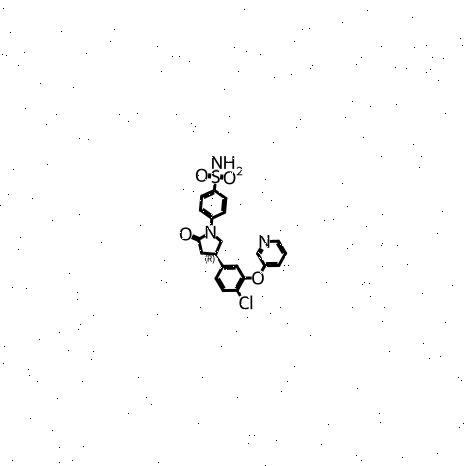 NS(=O)(=O)c1ccc(N2C[C@@H](c3ccc(Cl)c(Oc4cccnc4)c3)CC2=O)cc1